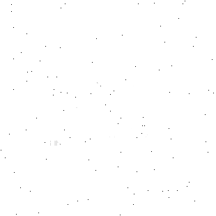 Fc1ccc(N2CC3(CCNCC3)c3ccccc32)cc1.O=C(O)/C=C\C(=O)O